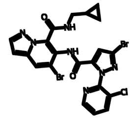 O=C(Nc1c(Br)cc2ccnn2c1C(=O)NCC1CC1)c1cc(Br)nn1-c1ncccc1Cl